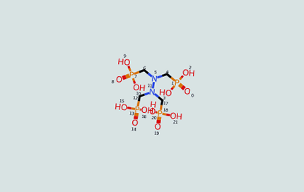 O=P(O)(O)CN(CP(=O)(O)O)N(CP(=O)(O)O)CP(=O)(O)O